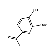 C=C(C)c1ccc(O)c(OC(C)=O)c1